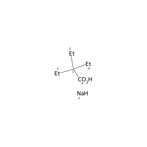 CCC(CC)(CC)C(=O)O.[NaH]